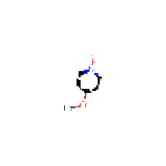 CCOc1cc[n+]([O-])cc1